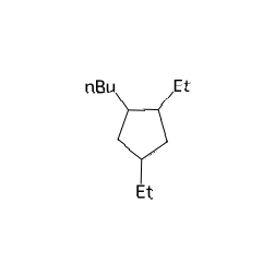 CCCCC1CC(CC)CC1CC